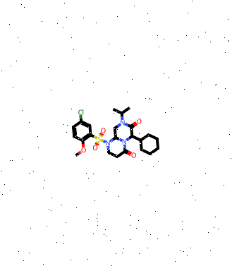 COc1ccc(Cl)cc1S(=O)(=O)N1CCC(=O)N2C(C3CCCCC3)C(=O)N(C(C)C)CC21